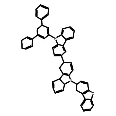 C1=CC2C3=C(C=CC(c4ccc5c(c4)c4ccccc4n5C4=CC(c5ccccc5)CC(C5=CCCC=C5)=C4)C3)N(C3C=Cc4oc5ccccc5c4C3)C2C=C1